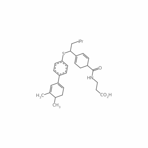 CC1=CC(c2ccc(SC(CC(C)C)C3=CCC(C(=O)NCCC(=O)O)C=C3)cc2)=CCC1C